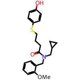 COc1ccccc1CN(CC1CC1)C(=O)CCCSc1ccc(O)cc1